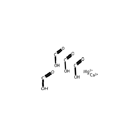 O=[C-]O.O=[C-]O.O=[C-]O.O=[C-]O.[Ca+2].[Mg+2]